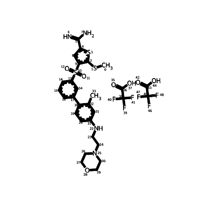 CSc1sc(C(=N)N)cc1S(=O)(=O)c1cccc(-c2ccc(NCCN3CCOCC3)cc2C)c1.O=C(O)C(F)(F)F.O=C(O)C(F)(F)F